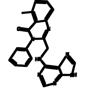 Cc1cccc2nc(CNc3ncnc4[nH]cnc34)n(-c3ccccc3)c(=O)c12